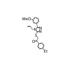 C=CCn1c(SCC(=O)c2ccc(CC)cc2)nnc1-c1cccc(OC)c1